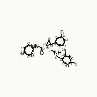 Cc1ncc(CNC[C@@]2(c3cccc(F)c3)C[C@H]2C(=O)Nc2ccc(F)cn2)c(C)n1